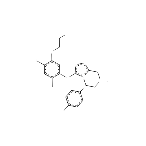 Cc1cc(Cl)c(OCCO)cc1Nc1nnc2n1[C@H](c1ccc(F)cc1)C[S@@+]([O-])C2